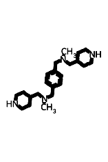 CN(Cc1ccc(CN(C)CC2CCNCC2)cc1)CC1CCNCC1